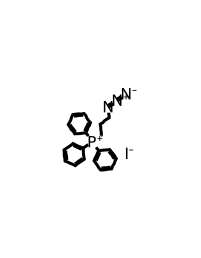 [I-].[N-]=[N+]=NCCC[P+](c1ccccc1)(c1ccccc1)c1ccccc1